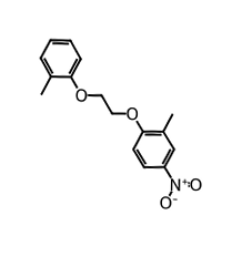 Cc1ccccc1OCCOc1ccc([N+](=O)[O-])cc1C